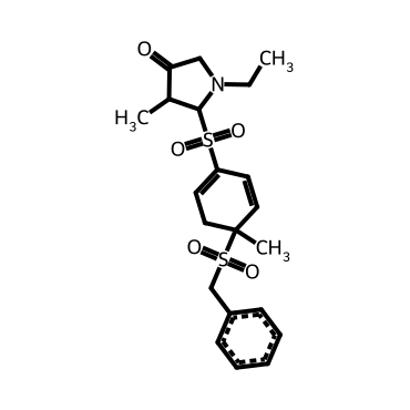 CCN1CC(=O)C(C)C1S(=O)(=O)C1=CCC(C)(S(=O)(=O)Cc2ccccc2)C=C1